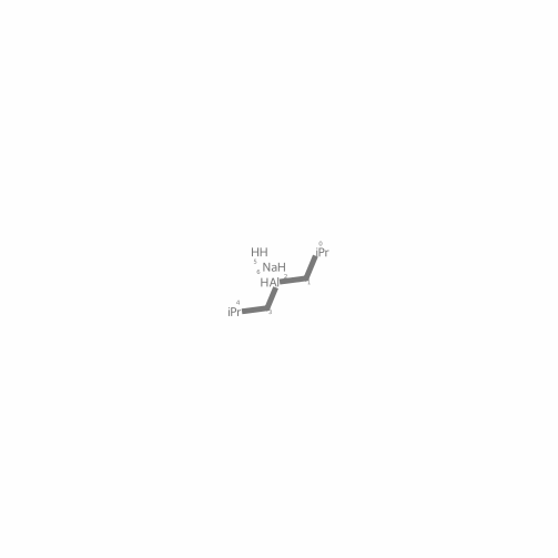 CC(C)[CH2][AlH][CH2]C(C)C.[HH].[NaH]